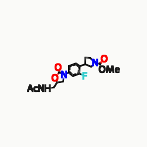 COC(=O)N1CCC(c2ccc(N3CC(CNC(C)=O)OC3=O)cc2F)C1